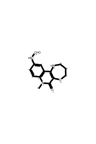 Cn1c(=O)c2c(c3cc(NC=O)ccc31)NCCCO2